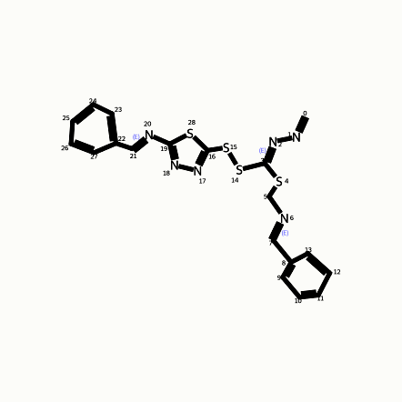 C=N/N=C(\SC/N=C/c1ccccc1)SSc1nnc(/N=C/c2ccccc2)s1